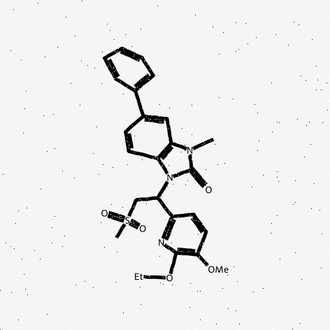 CCOc1nc(C(CS(C)(=O)=O)n2c(=O)n(C)c3cc(-c4ccccc4)ccc32)ccc1OC